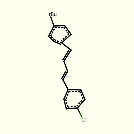 CC(C)(C)c1ccc(/C=C/C=C/c2ccc(Cl)cc2)cc1